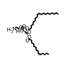 CCCC/C=C\CCCCCCCC(=O)OC[C@H](COP(=O)(O)OCCN)OC(=O)CCCCCCC/C=C\CCCCCCCCC